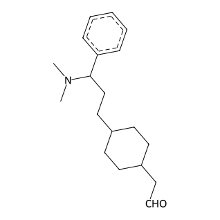 CN(C)C(CCC1CCC(CC=O)CC1)c1ccccc1